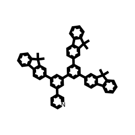 CC1(C)c2ccccc2-c2ccc(-c3cc(-c4cccnc4)cc(-c4cc(-c5ccc6c(c5)C(C)(C)c5ccccc5-6)cc(-c5ccc6c(c5)C(C)(C)c5ccccc5-6)c4)c3)cc21